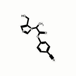 CC(C(=O)Oc1ccc(C#N)cc1)n1cncc1CO